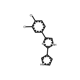 Clc1ccc(-c2c[nH]c(-c3cc[nH]c3)n2)cc1Cl